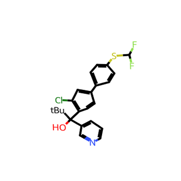 CC(C)(C)C(O)(c1cccnc1)c1ccc(-c2ccc(SC(F)F)cc2)cc1Cl